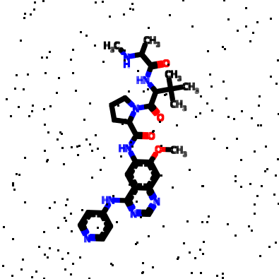 CNC(C)C(=O)NC(C(=O)N1CCCC1C(=O)Nc1cc2c(Nc3ccncc3)ncnc2cc1OC)C(C)(C)C